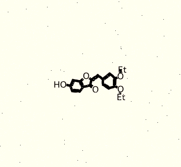 CCOc1ccc(C=C2Oc3cc(O)ccc3C2=O)cc1OCC